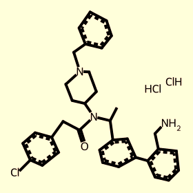 CC(c1cccc(-c2ccccc2CN)c1)N(C(=O)Cc1ccc(Cl)cc1)C1CCN(Cc2ccccc2)CC1.Cl.Cl